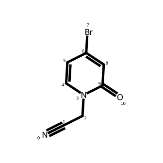 N#CCn1ccc(Br)cc1=O